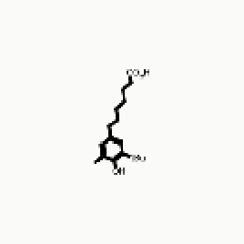 Cc1cc(CCCCCCC(=O)O)cc(C(C)(C)C)c1O